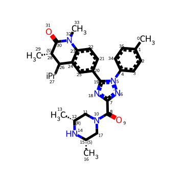 Cc1ccc(-n2nc(C(=O)N3C[C@@H](C)N[C@@H](C)C3)nc2-c2ccc3c(c2)C(C(C)C)[C@H](C)C(=O)N3C)cc1